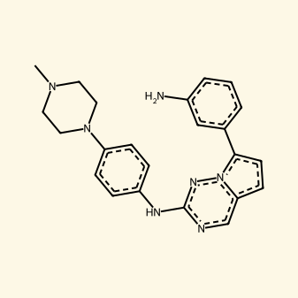 CN1CCN(c2ccc(Nc3ncc4ccc(-c5cccc(N)c5)n4n3)cc2)CC1